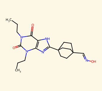 CCCn1c(=O)c2[nH]c(C34CCC(/C=N/O)(CC3)CC4)nc2n(CCC)c1=O